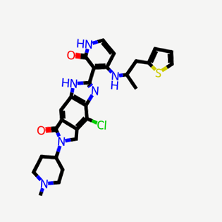 CC(Cc1cccs1)Nc1cc[nH]c(=O)c1-c1nc2c(Cl)c3c(cc2[nH]1)C(=O)N(C1CCN(C)CC1)C3